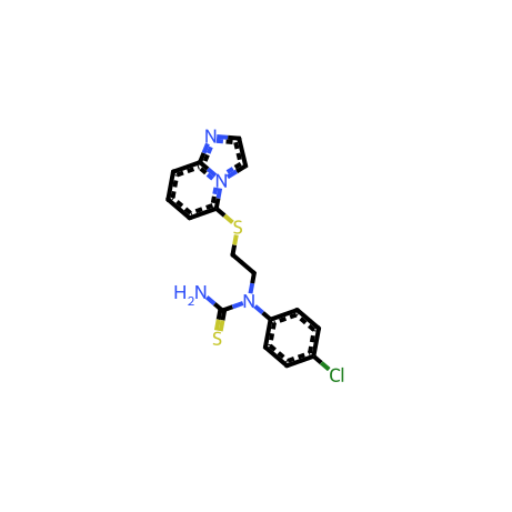 NC(=S)N(CCSc1cccc2nccn12)c1ccc(Cl)cc1